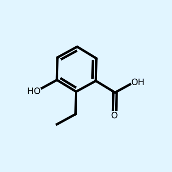 CCc1c(O)cccc1C(=O)O